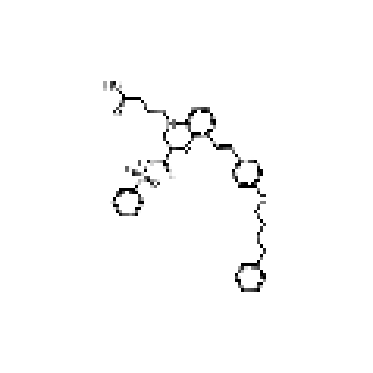 O=C(O)CCCN1CC(C(=O)NS(=O)(=O)c2ccccc2)Oc2c(C=Cc3ccc(OCCCCc4ccccc4)cc3)cccc21